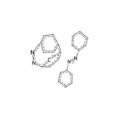 c1cc2ccc1nnc1ccc2cc1.c1ccc(/N=N/c2ccccc2)cc1